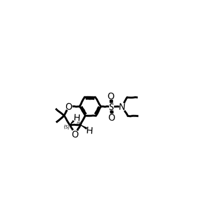 CCN(CC)S(=O)(=O)c1ccc2c(c1)[C@@H]1O[C@@H]1C(C)(C)O2